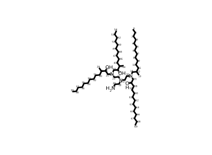 CCCCCCCCCCCCC(C)CN(CCN(CCN)CCN(CC(O)C(C)CCCCCCCCCC)CC(O)C(C)CCCCCCCCCC)CC(O)CCCCCCCCCCCC